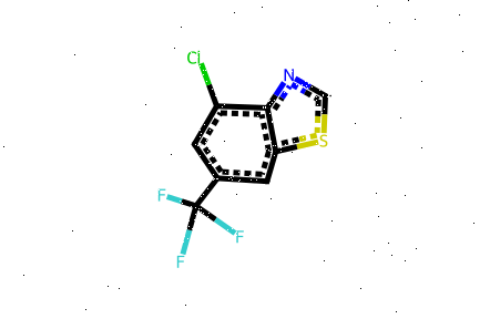 FC(F)(F)c1cc(Cl)c2n[c]sc2c1